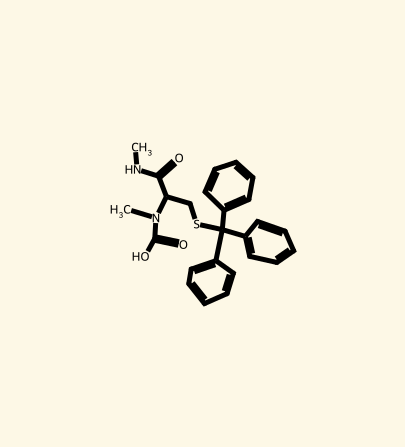 CNC(=O)C(CSC(c1ccccc1)(c1ccccc1)c1ccccc1)N(C)C(=O)O